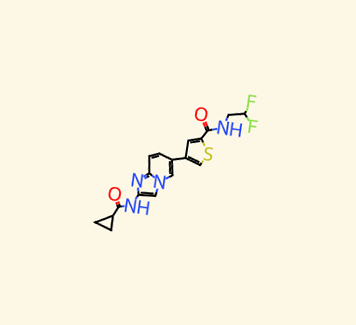 O=C(NCC(F)F)c1cc(-c2ccc3nc(NC(=O)C4CC4)cn3c2)cs1